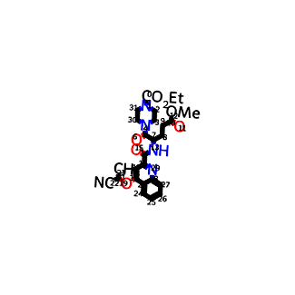 CCOC(=O)N1CCN(C(=O)C(CCC(=O)OC)NC(=O)c2cc(OC(C)C#N)c3ccccc3n2)CC1